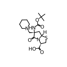 CC(C)(C)OC(=O)N[C@]1(CN2CCCCC2)C[C@@H]2SC[C@@H](C(=O)O)N2C1=O